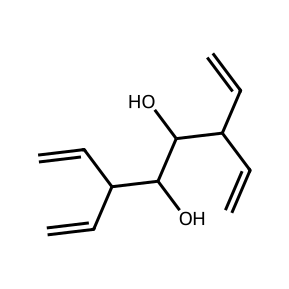 C=CC(C=C)C(O)C(O)C(C=C)C=C